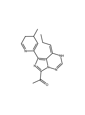 CC/C=C1/NC=Nn2c(C(C)=O)nc(C3=CC(C)CC=N3)c21